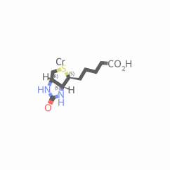 O=C(O)CCCC[C@@H]1SC[C@@H]2NC(=O)N[C@@H]21.[Cr]